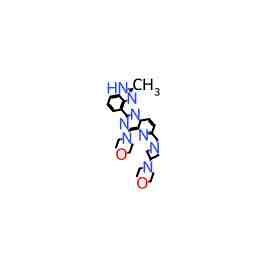 Cc1nc2c(-c3nc(N4CCOCC4)c4nc(CN5CC(N6CCOCC6)C5)ccc4n3)cccc2[nH]1